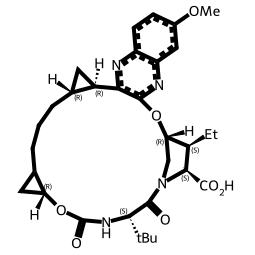 CC[C@@H]1[C@@H]2CN(C(=O)[C@H](C(C)(C)C)NC(=O)O[C@@H]3CC3CCC[C@@H]3C[C@H]3c3nc4ccc(OC)cc4nc3O2)[C@@H]1C(=O)O